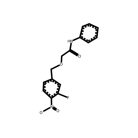 O=C(COCc1ccc([N+](=O)[O-])c(F)c1)Nc1ccccc1